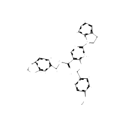 COc1ccc(COc2nc(N3CCc4ccccc43)ncc2C(=O)NCc2ccc3c(c2)OCO3)cc1